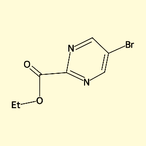 CCOC(=O)c1ncc(Br)cn1